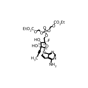 CC#C[C@]1(O)[C@H](n2ccc3c(N)ncnc32)O[C@](F)(COP(=O)(OCOC(=O)OCC)OCOC(=O)OCC)[C@H]1O